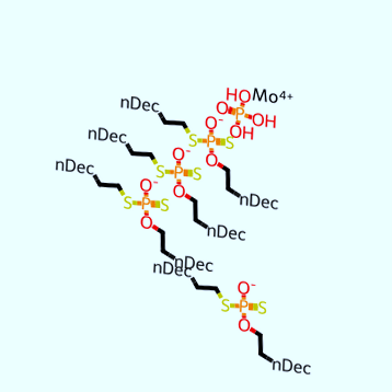 CCCCCCCCCCCCOP([O-])(=S)SCCCCCCCCCCCC.CCCCCCCCCCCCOP([O-])(=S)SCCCCCCCCCCCC.CCCCCCCCCCCCOP([O-])(=S)SCCCCCCCCCCCC.CCCCCCCCCCCCOP([O-])(=S)SCCCCCCCCCCCC.O=P(O)(O)O.[Mo+4]